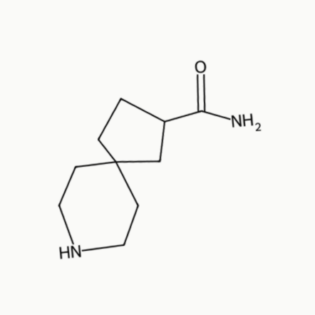 NC(=O)C1CCC2(CCNCC2)C1